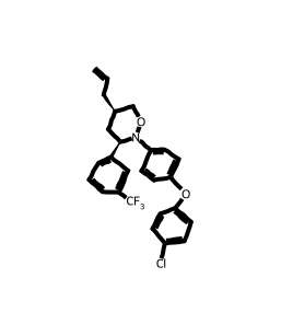 C=CC[C@H]1CON(c2ccc(Oc3ccc(Cl)cc3)cc2)[C@@H](c2cccc(C(F)(F)F)c2)C1